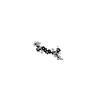 CCC(N(Cc1ncc(-c2ccc3c(c2)COc2cc4c(ccc5nc(C6CCCN6C(=O)CNC(=O)OC)[nH]c54)cc2-3)[nH]1)C(=O)CNC(=O)OC)[C@@]1(C)CCC[C@@H](C)O1